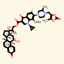 COc1c(N2CCN(Cc3oc(=O)oc3C)C(C)C2)c(F)cc2c(=O)c(C(=O)OCC(=O)[C@]3(O)CC[C@@H]4[C@H]5CCC6=CC(=O)C=C[C@@]6(C)[C@@H]5[C@H](O)C[C@]43C)cn(C3CC3)c12